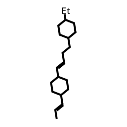 CC=CC1CCC(C=CCCC2CCC(CC)CC2)CC1